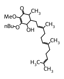 CCCCOC1=C(OC)C(=O)C(C)C(C/C=C(\C)CC/C=C(\C)CCC=C(C)C)C1O